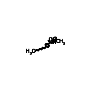 CCCCCCCCc1ccc(C(CO)CCNC(C)=O)cc1